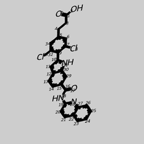 O=C(O)CCc1cc(Cl)c(-c2cc3ccc(C(=O)Nc4ccc5ccccc5n4)cc3[nH]2)c(Cl)c1